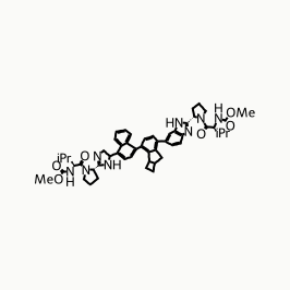 COC(=O)N[C@H](C(=O)N1CCC[C@H]1C1=NCC(c2ccc(-c3ccc(-c4ccc5nc([C@@H]6CCCN6C(=O)[C@@H](NC(=O)OC)C(C)C)[nH]c5c4)c4c3C3CCC3C4)c3ccccc23)N1)C(C)C